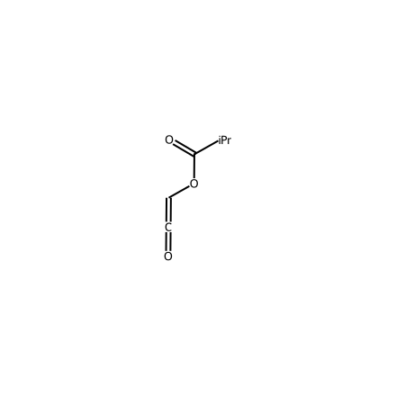 CC(C)C(=O)OC=C=O